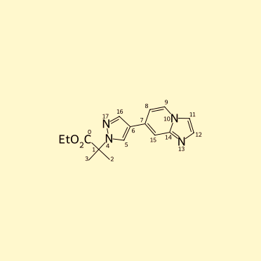 CCOC(=O)C(C)(C)n1cc(-c2ccn3ccnc3c2)cn1